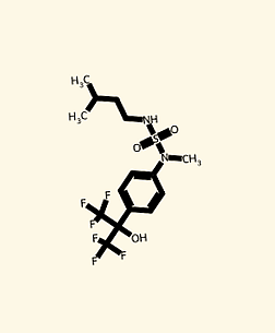 CC(C)CCNS(=O)(=O)N(C)c1ccc(C(O)(C(F)(F)F)C(F)(F)F)cc1